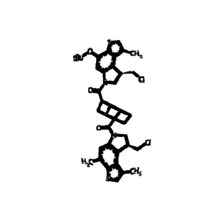 Cc1cc2c(c3c(C)csc13)[C@H](CCl)CN2C(=O)C12C3C4C1C1C2C3C41C(=O)N1C[C@@H](CCl)c2c1cc(OC(C)(C)C)c1scc(C)c21